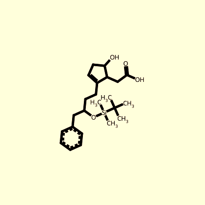 CC(C)(C)[Si](C)(C)OC(CCC1=CCC(O)C1CC(=O)O)Cc1ccccc1